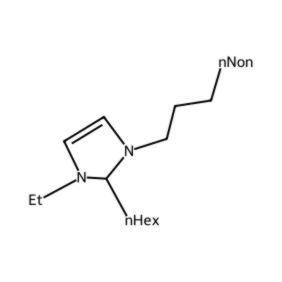 CCCCCCCCCCCCN1C=CN(CC)C1CCCCCC